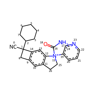 N#CC1(C2CCCCC2)Cc2cc3c(cc21)[N+](C(N)=O)(c1cccnc1)CC3